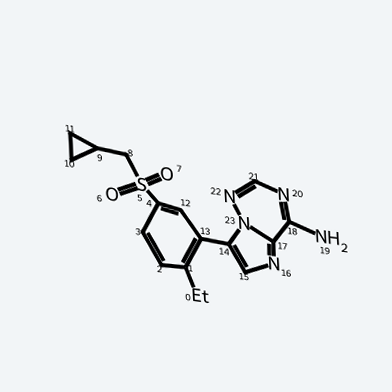 CCc1ccc(S(=O)(=O)CC2CC2)cc1-c1cnc2c(N)ncnn12